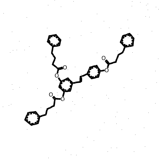 O=C(CCCc1ccccc1)Oc1ccc(/C=C/c2cc(OC(=O)CCCc3ccccc3)cc(OC(=O)CCCc3ccccc3)c2)cc1